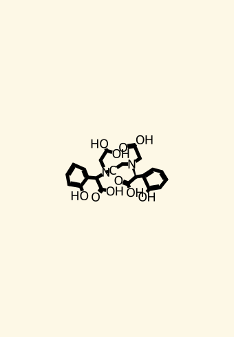 O=C(O)CN(CCN(CC(O)O)C(C(=O)O)c1ccccc1O)[C@H](C(=O)O)c1ccccc1O